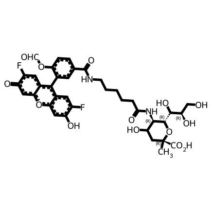 C[C@]1(C(=O)O)CC(O)[C@@H](NC(=O)CCCCCNC(=O)c2ccc(OC=O)c(-c3c4cc(F)c(=O)cc-4oc4cc(O)c(F)cc34)c2)[C@H](C(O)[C@H](O)CO)O1